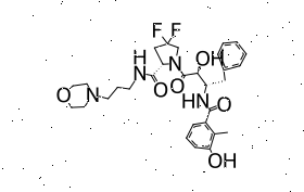 Cc1c(O)cccc1C(=O)N[C@@H](Cc1ccccc1)[C@H](O)C(=O)N1CC(F)(F)C[C@H]1C(=O)NCCCN1CCOCC1